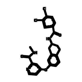 CNC(=O)c1cc(Oc2ccc3c(c2)CC(NC(=O)c2ccc(Cl)c(Cl)c2)CC3)ccn1